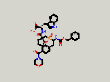 O=C(N[C@@H](Cc1ccc(C(=O)N2CCOCC2)cc1)[P@@](=O)(O)CC1(C(=O)N[C@@H](Cc2c[nH]c3ccccc23)C(=O)O)CCCC1)OCc1ccccc1